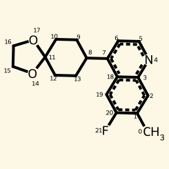 Cc1cc2nccc(C3CCC4(CC3)OCCO4)c2cc1F